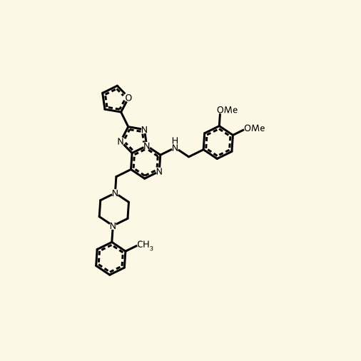 COc1ccc(CNc2ncc(CN3CCN(c4ccccc4C)CC3)c3nc(-c4ccco4)nn23)cc1OC